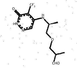 CC(C=O)COC[C@H](C)Nc1cn[nH]c(=O)c1C(F)(F)F